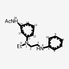 CCN(CCNc1ccccc1)c1cccc(NC(C)=O)c1